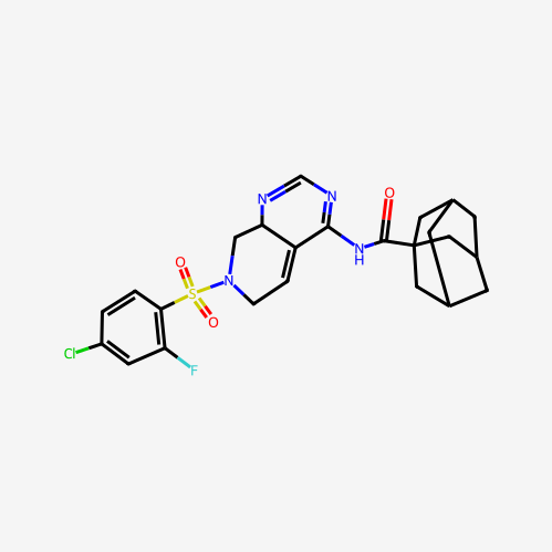 O=C(NC1=NC=NC2CN(S(=O)(=O)c3ccc(Cl)cc3F)CC=C12)C12CC3CC(CC(C3)C1)C2